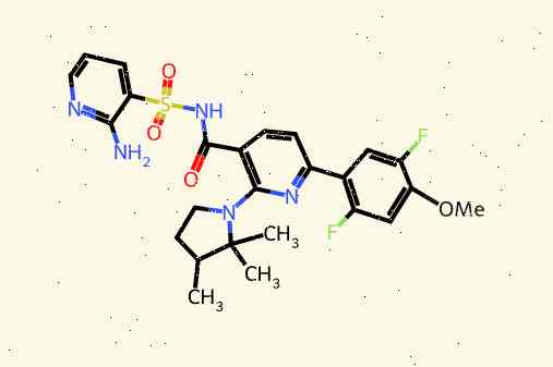 COc1cc(F)c(-c2ccc(C(=O)NS(=O)(=O)c3cccnc3N)c(N3CCC(C)C3(C)C)n2)cc1F